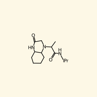 CC(C)NC(=O)C(C)N1CC(=O)NC2CCCCC21